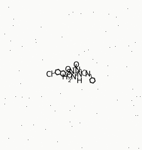 NCC12CN(S(=O)(=O)c3ccc4cc(Cl)ccc4c3)CC(=O)N1CC1(CCN(Cc3ccccc3)CC1)N2